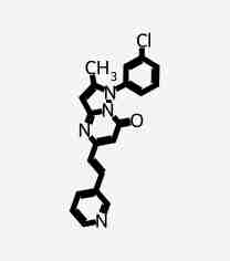 Cc1cc2nc(/C=C/c3cccnc3)cc(=O)n2n1-c1cccc(Cl)c1